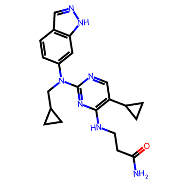 NC(=O)CCNc1nc(N(CC2CC2)c2ccc3cn[nH]c3c2)ncc1C1CC1